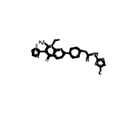 CCn1c(N)c(-c2ncc[nH]2)c(=O)c2ccc(-c3ccc(CC(=O)Nc4ncc(Cl)s4)cc3)nc21